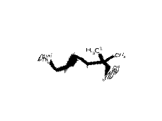 CCCCC(C)(C)CC=CC=O